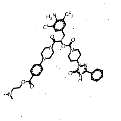 CN(C)CCOC(=O)c1ccc(N2CCN(C(=O)[C@@H](Cc3cc(Cl)c(N)c(C(F)(F)F)c3)OC(=O)N3CCC(n4nc(-c5ccccc5)[nH]c4=O)CC3)CC2)cc1